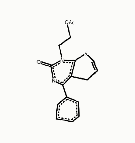 CC(=O)OCCn1c2c(c(-c3ccccc3)nc1=O)CC=CS2